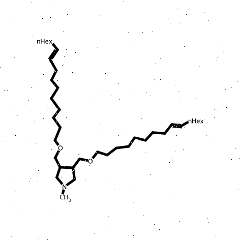 CCCCCCC=CCCCCCCCCOCC1CN(C)CC1COCCCCCCCCC=CCCCCCC